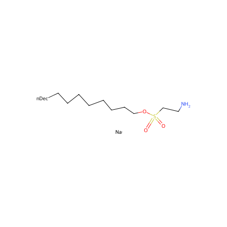 CCCCCCCCCCCCCCCCCCOS(=O)(=O)CCN.[Na]